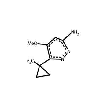 COc1cc(N)nnc1C1(C(F)(F)F)CC1